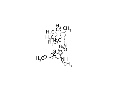 CCN[C@H]1CN(CCCOC)S(=O)(=O)c2sc(S(=O)(=O)/N=C/CCCC(CC)C(CC)C(CC)C(CC)C(C)CC)cc21